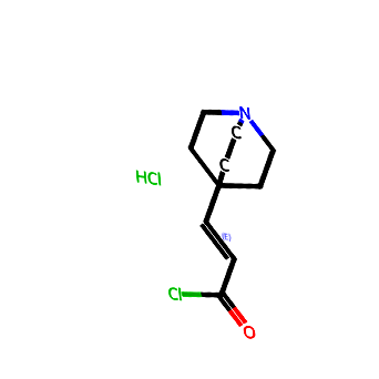 Cl.O=C(Cl)/C=C/C12CCN(CC1)CC2